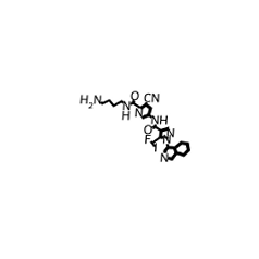 N#Cc1cc(NC(=O)c2cnn(-c3cncc4ccccc34)c2C(F)I)cnc1C(=O)NCCCCN